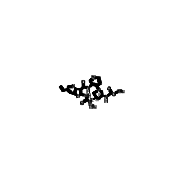 C=Cc1cnc2c(C(=O)Nc3cnccc3N3C[C@@H](NC(=O)OC(C)(C)C)C[C@@H](C(F)(F)F)C3)c(NC(=O)OC(C)(C)C)oc2c1